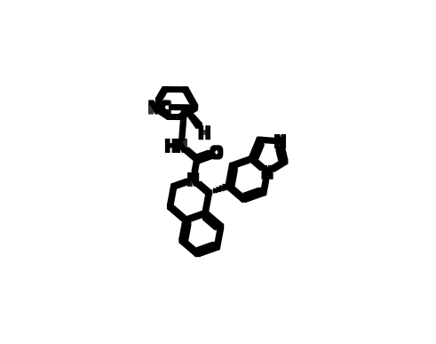 O=C(N[C@@H]1CN2CCC1CC2)N1CCc2ccccc2[C@H]1c1ccn2cncc2c1